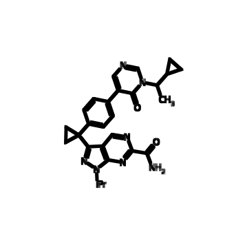 CC(C1CC1)n1cncc(-c2ccc(C3(c4nn(C(C)C)c5nc(C(N)=O)ncc45)CC3)cc2)c1=O